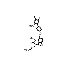 COCCCN(C(=O)OC(C)(C)C)c1noc2ccc(COc3ccc(-c4cc(F)c(F)cc4OC)cc3)cc12